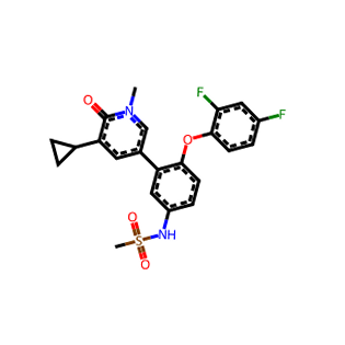 Cn1cc(-c2cc(NS(C)(=O)=O)ccc2Oc2ccc(F)cc2F)cc(C2CC2)c1=O